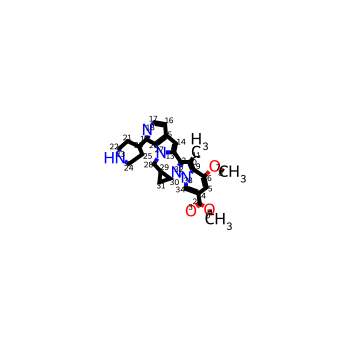 COC(=O)c1cc(OC)c2c(C)c(-c3cc4ccnc(C5CCNCC5)c4n3CC3CC3)nn2c1